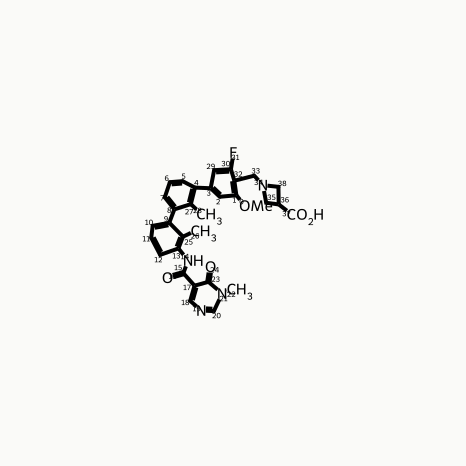 COc1cc(-c2cccc(-c3cccc(NC(=O)c4cncn(C)c4=O)c3C)c2C)cc(F)c1CN1CC(C(=O)O)C1